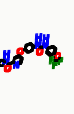 CNC(=O)c1cc(OC2CCC(NC(=O)Nc3ccc(OC(F)(F)F)cc3)CC2)ccn1